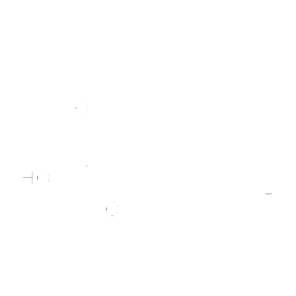 O=S(=O)(O)c1cccc(F)c1